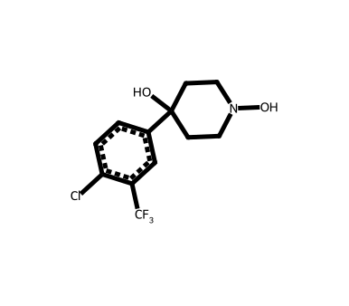 ON1CCC(O)(c2ccc(Cl)c(C(F)(F)F)c2)CC1